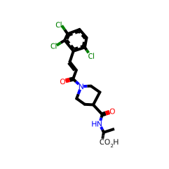 CC(NC(=O)C1CCN(C(=O)C=Cc2c(Cl)ccc(Cl)c2Cl)CC1)C(=O)O